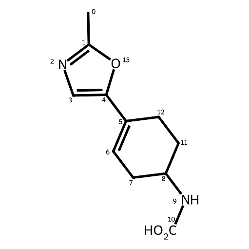 Cc1ncc(C2=CCC(NC(=O)O)CC2)o1